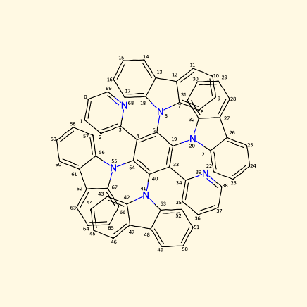 c1ccc(-c2c(-n3c4ccccc4c4ccccc43)c(-n3c4ccccc4c4ccccc43)c(-c3ccccn3)c(-n3c4ccccc4c4ccccc43)c2-n2c3ccccc3c3ccccc32)nc1